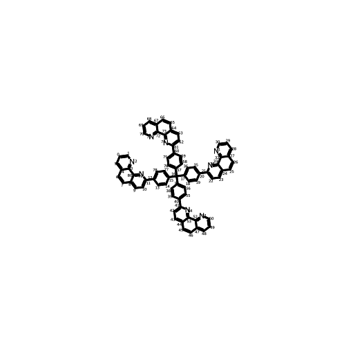 c1cnc2c(c1)ccc1ccc(-c3ccc(C(c4ccc(-c5ccc6ccc7cccnc7c6n5)cc4)(c4ccc(-c5ccc6ccc7cccnc7c6n5)cc4)c4ccc(-c5ccc6ccc7cccnc7c6n5)cc4)cc3)nc12